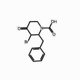 O=C1CCN(C(=O)O)C(Cc2ccccc2)C1Br